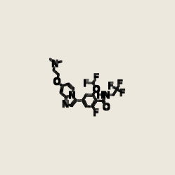 CN(C)CCOc1ccn2c(-c3cc(F)c(C(=O)NCC(F)(F)F)c(OC(F)F)c3)cnc2c1